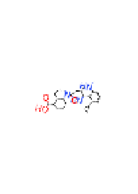 CNc1cccc(C2CC2)c1C(=N)C(C)CC(=O)N1CCCC2C(C(=O)O)CCCC21